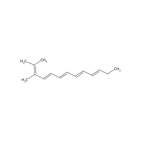 CCC=CC=CC=CC=CC(C)=C(C)C